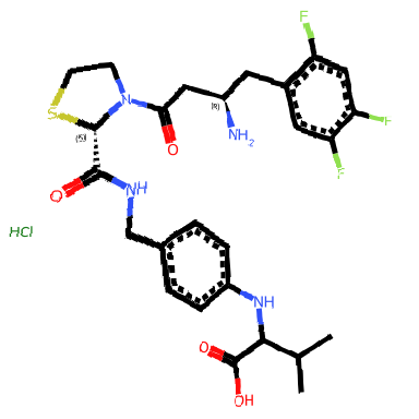 CC(C)C(Nc1ccc(CNC(=O)[C@@H]2SCCN2C(=O)C[C@H](N)Cc2cc(F)c(F)cc2F)cc1)C(=O)O.Cl